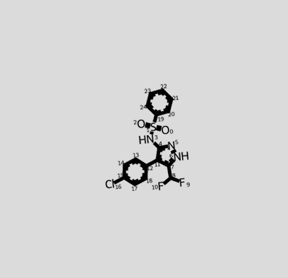 O=S(=O)(Nc1n[nH]c(C(F)F)c1-c1ccc(Cl)cc1)c1ccccc1